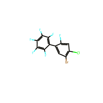 Fc1cc(Cl)c(Br)cc1-c1c(F)c(F)c(F)c(F)c1F